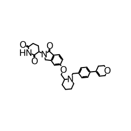 O=C1CCC(N2Cc3cc(OCC4CCCCN4Cc4ccc(C5=CCOCC5)cc4)ccc3C2=O)C(=O)N1